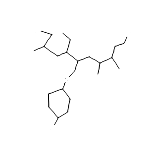 CCCC(C)C(C)CC(CNC1CCC(C)CC1)C(CC)CC(C)CC